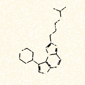 CC(C)NCCCc1cn2c(cnc3[nH]cc(C4CCOCC4)c32)n1